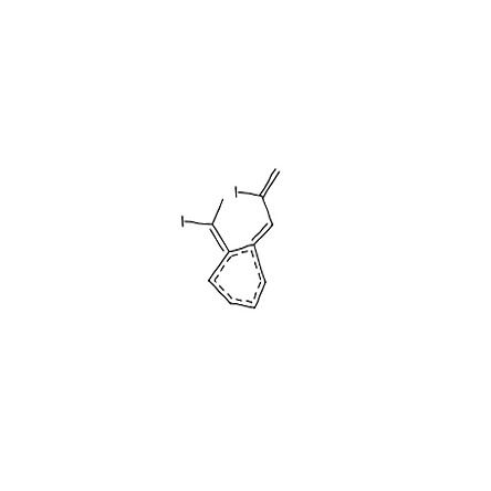 C=C(I)/C=c1/cccc/c1=C(/C)I